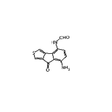 Nc1ccc(NC=O)c2c1C(=O)c1cscc1-2